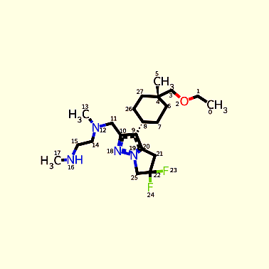 CCOC[C@]1(C)CC[C@H](c2c(CN(C)CCNC)nn3c2CC(F)(F)C3)CC1